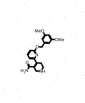 COc1cc(COc2cccc(C3=C(C(N)=O)CNCC3)n2)cc(OC)c1